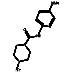 CCCN1CCN(C(=O)Nc2ccc(NC)cc2)CC1